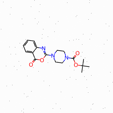 CC(C)(C)OC(=O)N1CCN(c2nc3ccccc3c(=O)o2)CC1